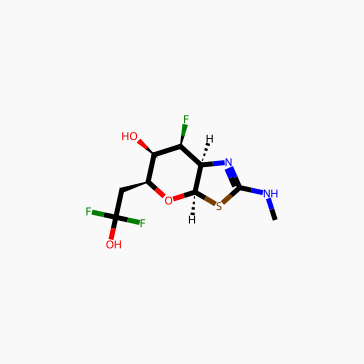 CNC1=N[C@@H]2[C@H](F)[C@H](O)[C@H](CC(O)(F)F)O[C@@H]2S1